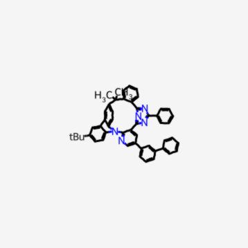 CC(C)(C)c1ccc2c(c1)c1cc3ccc1n2-c1ncc(-c2cccc(-c4ccccc4)c2)cc1-c1nc(-c2ccccc2)nc(n1)-c1ccccc1C3(C)C